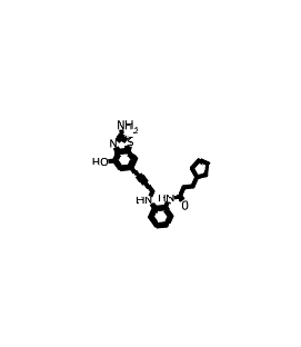 Nc1nc2c(O)cc(C#CCNc3ccccc3NC(=O)CCC3CCCC3)cc2s1